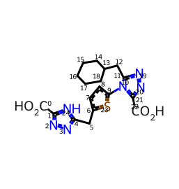 O=C(O)c1nnc(Cc2ccc(-n3c(CC4CCCCC4)nnc3C(=O)O)s2)[nH]1